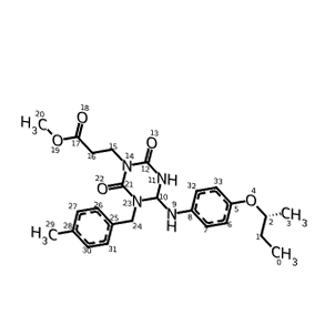 CC[C@@H](C)Oc1ccc(NC2NC(=O)N(CCC(=O)OC)C(=O)N2Cc2ccc(C)cc2)cc1